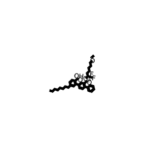 CCCCCCCCc1ccc(C(=O)O)c(-c2ccc(-c3ccccc3)c(C(=O)OC(CCCCCOCC)C(F)(F)F)c2)c1